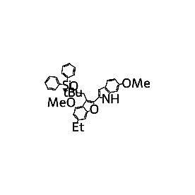 CCc1cc(OC)c2c(CCO[Si](c3ccccc3)(c3ccccc3)C(C)(C)C)c(-c3cc4ccc(OC)cc4[nH]3)oc2c1